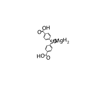 O=C(O)c1ccc([S+]([O-])c2ccc(C(=O)O)cc2)cc1.[MgH2]